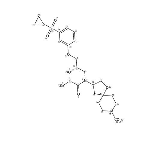 CC(C)(C)OC(=O)N(C[C@H](O)COc1cccc(S(=O)(=O)C2CC2)c1)C1COC2(CCN(C(=O)O)CC2)C1